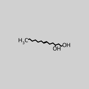 CCCCCCC=CCCC(O)CCO